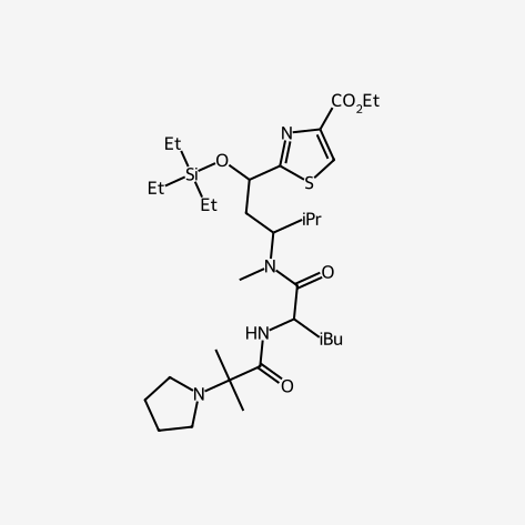 CCOC(=O)c1csc(C(CC(C(C)C)N(C)C(=O)C(NC(=O)C(C)(C)N2CCCC2)C(C)CC)O[Si](CC)(CC)CC)n1